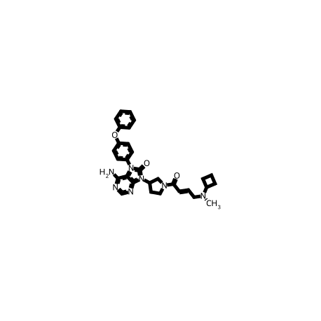 CN(CC=CC(=O)N1CCC(n2c(=O)n(-c3ccc(Oc4ccccc4)cc3)c3c(N)ncnc32)C1)C1CCC1